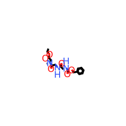 CCOC(=O)CN(C)C(=O)CNC(=O)CNC(=O)OCc1ccccc1